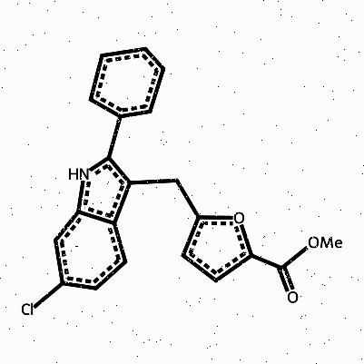 COC(=O)c1ccc(Cc2c(-c3ccccc3)[nH]c3cc(Cl)ccc23)o1